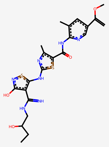 C=C(OC)c1cnc(NC(=O)c2sc(Nc3snc(O)c3C(=N)NCC(O)CC)nc2C)c(C)c1